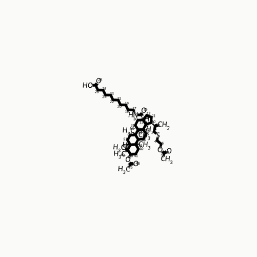 C=C(CSCCOC(C)=O)[C@@H]1CC[C@]2(C(=O)NCCCCCCCCCCC(=O)O)CC[C@]3(C)[C@H](CCC4[C@@]5(C)CC[C@H](OC(C)=O)C(C)(C)[C@@H]5CC[C@]43C)[C@@H]12